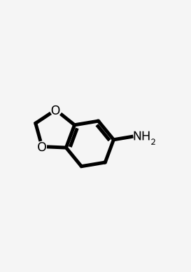 NC1=CC2=C(CC1)OCO2